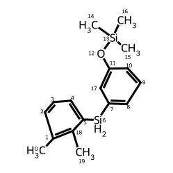 Cc1cccc([SiH2]c2cccc(O[Si](C)(C)C)c2)c1C